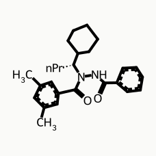 CCC[C@H](C1CCCCC1)N(NC(=O)c1ccccc1)C(=O)c1cc(C)cc(C)c1